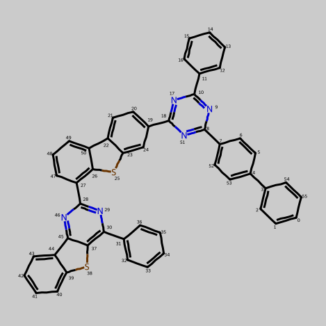 c1ccc(-c2ccc(-c3nc(-c4ccccc4)nc(-c4ccc5c(c4)sc4c(-c6nc(-c7ccccc7)c7sc8ccccc8c7n6)cccc45)n3)cc2)cc1